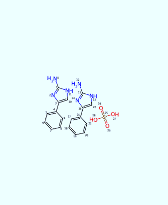 Nc1nc(-c2ccccc2)c[nH]1.Nc1nc(-c2ccccc2)c[nH]1.O=S(=O)(O)O